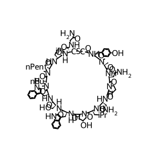 CCCCC[C@H]1C(=O)N[C@@H](CC(C)C)C(=O)N[C@H](C(=O)NCC(N)=O)CSCC(=O)N[C@@H](Cc2ccc(O)cc2)C(=O)N(C)[C@@H](C)C(=O)N[C@@H](CC(N)=O)C(=O)N2CCC[C@H]2C(=O)N[C@@H](CN)C(=O)N[C@@H](CC(C)C)C(=O)N2C[C@H](O)C[C@H]2C(=O)N[C@@H](Cc2c[nH]c3ccccc23)C(=O)N[C@@H](CO)C(=O)N[C@@H](Cc2c[nH]c3ccccc23)C(=O)N(C)[C@@H](CCCC)C(=O)N1C